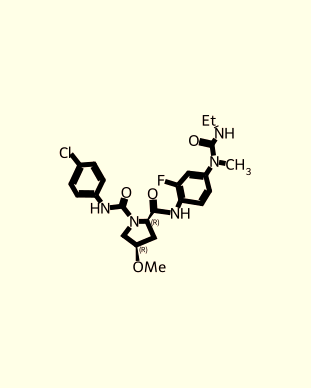 CCNC(=O)N(C)c1ccc(NC(=O)[C@H]2C[C@@H](OC)CN2C(=O)Nc2ccc(Cl)cc2)c(F)c1